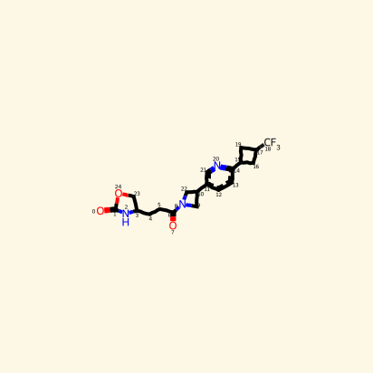 O=C1NC(CCC(=O)N2CC(c3ccc(C4CC(C(F)(F)F)C4)nc3)C2)CO1